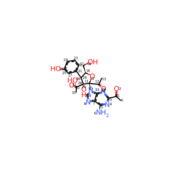 CC(=O)c1nc(N)c2ncn([C@]3(C(C)=O)O[C@H](CO)[C@](O)(c4cccc(O)c4)[C@]3(O)C(C)=O)c2n1